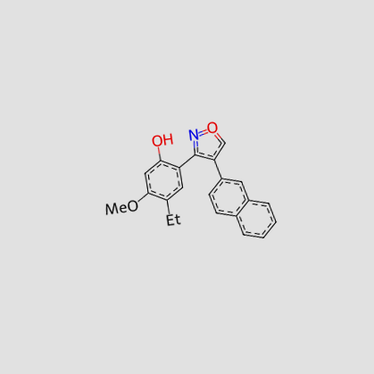 CCc1cc(-c2nocc2-c2ccc3ccccc3c2)c(O)cc1OC